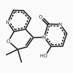 CC1(C)C=C(n2c(O)ccnc2=O)c2cccnc2O1